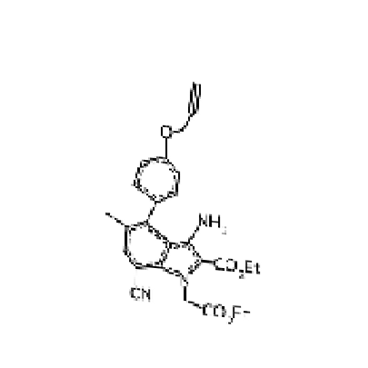 C#CCOc1ccc(-c2c(C)cc(C#N)c3c2c(N)c(C(=O)OCC)n3CC(=O)OCC)cc1